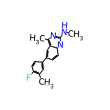 CNc1nc(C)c2cc(-c3ccc(F)c(C)c3)ccc2n1